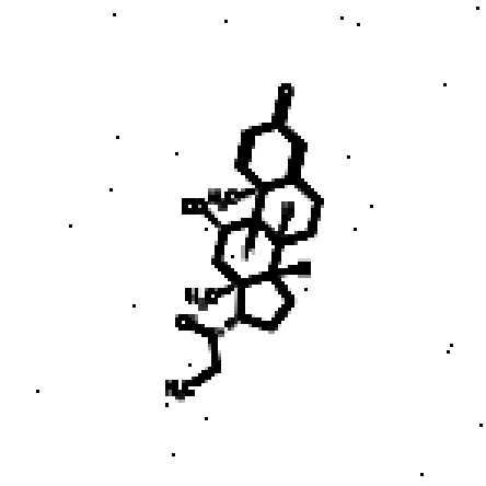 CC[S+]([O-])[C@H]1CC[C@H]2[C@@H]3CCC4=CC(=O)C=C[C@]4(C)C3(F)[C@@H](O)C[C@]12C